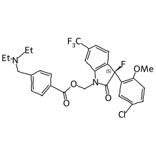 CCN(CC)Cc1ccc(C(=O)OCN2C(=O)[C@@](F)(c3cc(Cl)ccc3OC)c3ccc(C(F)(F)F)cc32)cc1